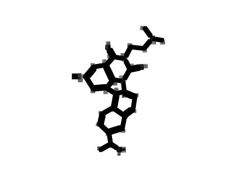 CC(O)c1ccc2c(ccc3c2c2cccc4c(=O)n(CCN(C)C)c(=O)n3c42)c1.Cl